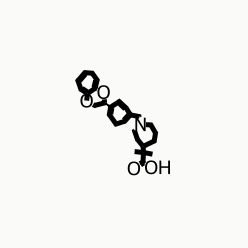 CC(C)(C(=O)O)C1CCCN(CC2=CCC=C([C@H]3COC4=CC=CCC=C4O3)C=C2)CC1